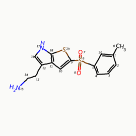 Cc1cccc(S(=O)(=O)c2cc3c(CCN)c[nH]c3s2)c1